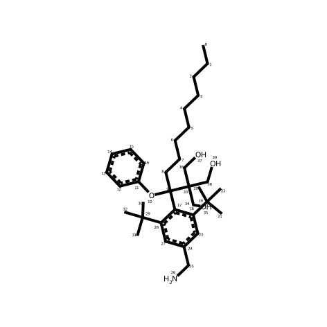 CCCCCCCCCC(Oc1ccccc1)(c1c(C(C)(C)C)cc(CN)cc1C(C)(C)C)C(CO)(CO)CO